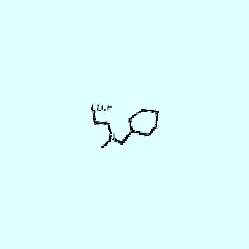 CN(CCC(=O)O)CC1CCCCC1